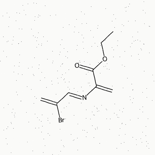 C=C(Br)/C=N/C(=C)C(=O)OCC